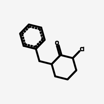 O=C1C(Cl)CCCC1Cc1ccccc1